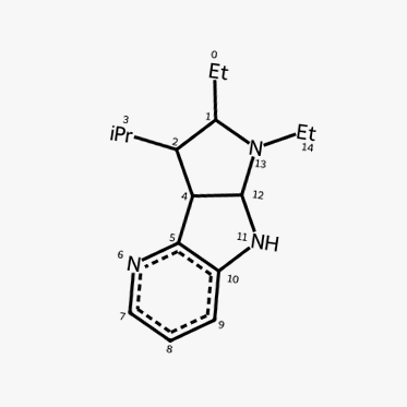 CCC1C(C(C)C)C2c3ncccc3NC2N1CC